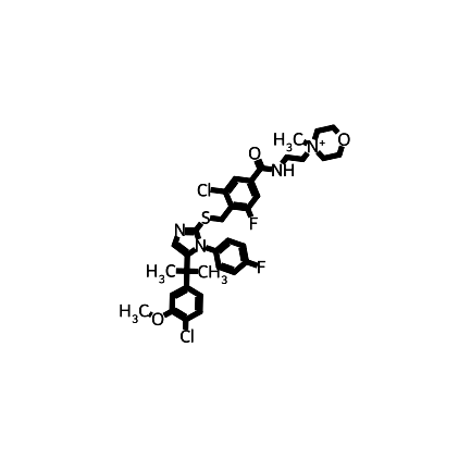 COc1cc(C(C)(C)c2cnc(SCc3c(F)cc(C(=O)NCC[N+]4(C)CCOCC4)cc3Cl)n2-c2ccc(F)cc2)ccc1Cl